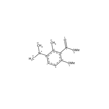 COC(=O)c1c(OC)ccc(N(C)C)c1C